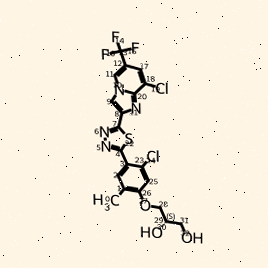 Cc1cc(-c2nnc(-c3cn4cc(C(F)(F)F)cc(Cl)c4n3)s2)c(Cl)cc1OC[C@@H](O)CO